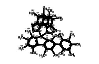 Cc1c(C)c(C)c(-c2c(C)c(C)c3c(c2C)C(n2nnc4c(C)c(C)c(C)c(C)c42)(n2nnc4c(C)c(C)c(C)c(C)c42)c2c(C)c(C)c(C)c(C)c2-3)c(C)c1C